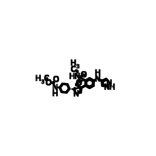 CCNS(=O)(=O)c1cc(Nc2cn[nH]c2)ccc1-c1cnc([C@H]2CC[C@H](NC(=O)OC)CC2)s1